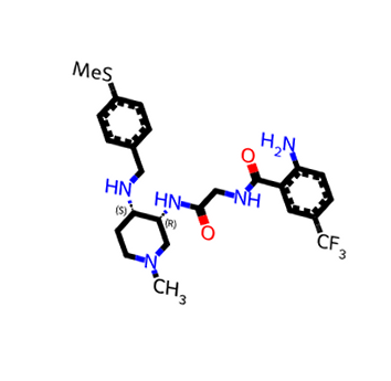 CSc1ccc(CN[C@H]2CCN(C)C[C@H]2NC(=O)CNC(=O)c2cc(C(F)(F)F)ccc2N)cc1